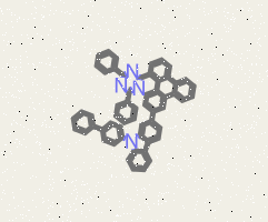 c1ccc(-c2ccc(-n3c4ccccc4c4ccc(-c5ccc6c(c5)c5ccccc5c5cccc(-c7nc(-c8ccccc8)nc(-c8ccccc8)n7)c56)cc43)cc2)cc1